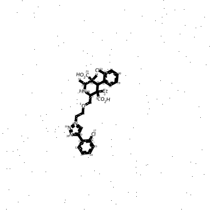 CCC1(C(=O)O)C(COCCn2cc(-c3ccccc3Cl)nn2)NC(C)C(C)(C(=O)O)C1c1ccccc1Cl